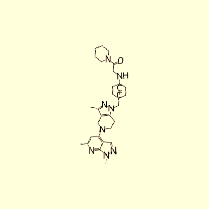 Cc1cc(N2CCc3c(c(C)nn3CC34CCC(NCC(=O)N5CCCCC5)(CC3)CC4)C2)c2cnn(C)c2n1